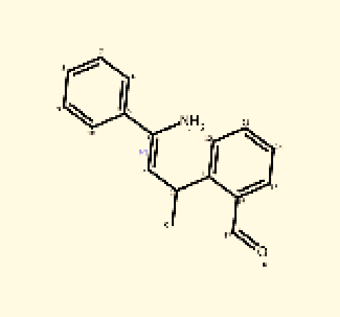 CC(/C=C(\N)c1ccccc1)c1ccccc1C=O